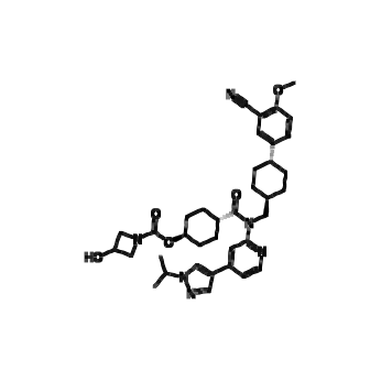 COc1ccc([C@H]2CC[C@H](CN(c3cc(-c4cnn(C(C)C)c4)ccn3)C(=O)[C@H]3CC[C@H](OC(=O)N4CC(O)C4)CC3)CC2)cc1C#N